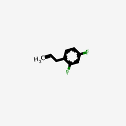 C=CCc1ccc(F)cc1F